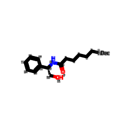 CCCCCCCCCCCCCCCC(=O)N[C@H](CO)c1ccccc1